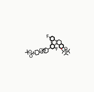 CC(C)[Si](Oc1ccc2c(c1)CC[C@H](c1ccc(F)cc1)[C@@H]2c1c(F)cc(C2CCN(CC3(O)CCN(C(=O)OC(C)(C)C)CC3)CC2)cc1F)(C(C)C)C(C)C